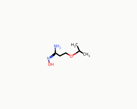 CC(C)OCC/C(N)=N\O